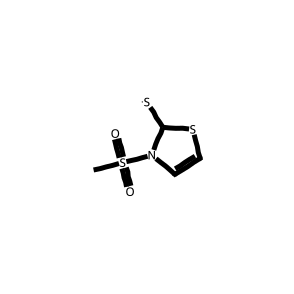 CS(=O)(=O)N1C=CSC1[S]